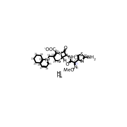 CO/N=C(\C(=O)N[C@@H]1C(=O)N2C(C(=O)[O-])=C(C[n+]3cccc4c3CCCC4)CS[C@H]12)c1csc(N)n1.I.I